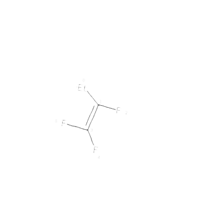 C[CH]C(F)=C(F)F